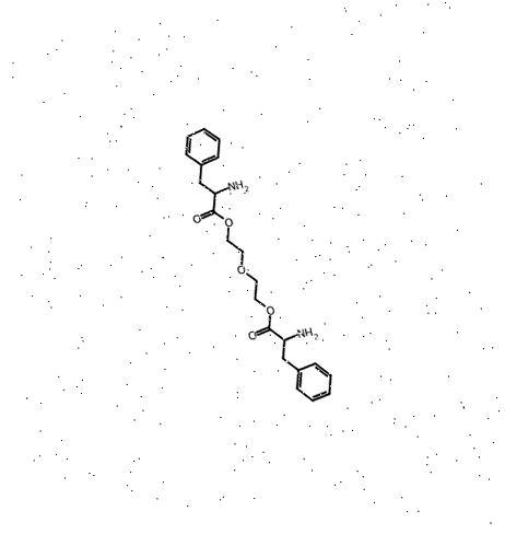 NC(Cc1ccccc1)C(=O)OCCOCCOC(=O)C(N)Cc1ccccc1